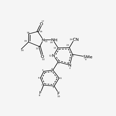 CSc1nc(-c2ccc(F)c(F)c2)nc(NN2C(=O)C=C(C)C2=O)c1C#N